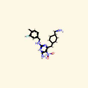 Cc1ccc(CNc2nc(N)c([N+](=O)[O-])c(CC3CCC(CN)CC3)n2)cc1F